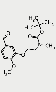 COc1ccc(C=O)cc1OCCN(C)C(=O)OC(C)(C)C